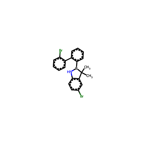 CC1(C)B(c2ccccc2-c2ccccc2Br)Nc2ccc(Br)cc21